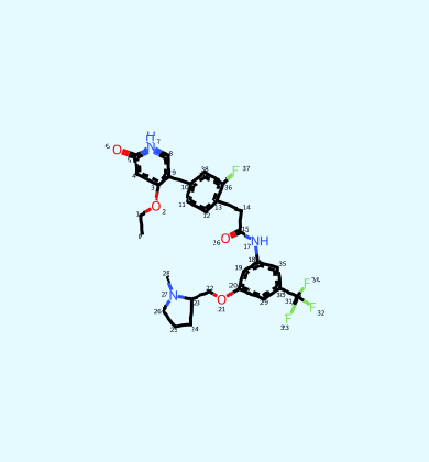 CCOc1cc(=O)[nH]cc1-c1ccc(CC(=O)Nc2cc(OCC3CCCN3C)cc(C(F)(F)F)c2)c(F)c1